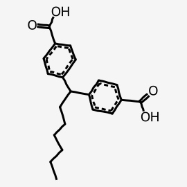 CCCCCCC(c1ccc(C(=O)O)cc1)c1ccc(C(=O)O)cc1